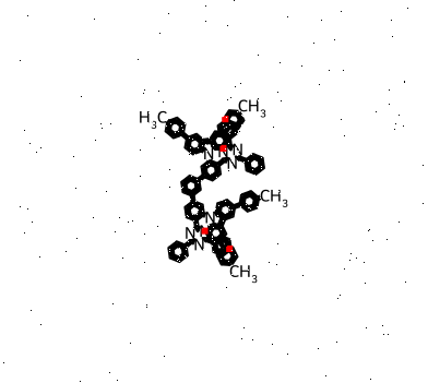 Cc1ccc(-c2ccc3c(c2)c2cc(-c4ccc(C)cc4)ccc2n3-c2cc(-c3cccc(-c4ccc(-c5nc(-c6ccccc6)nc(-c6ccccc6)n5)c(-n5c6ccc(-c7ccc(C)cc7)cc6c6cc(-c7ccc(C)cc7)ccc65)c4)c3)ccc2-c2nc(-c3ccccc3)nc(-c3ccccc3)n2)cc1